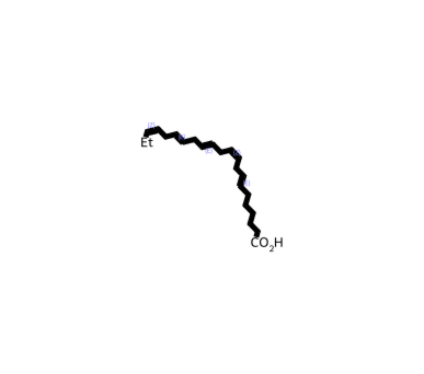 CC/C=C\C/C=C/C/C=C/C/C=C\C/C=C/CCCCCC(=O)O